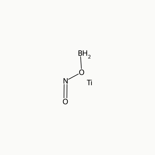 BON=O.[Ti]